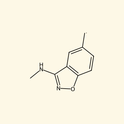 [CH2]c1ccc2onc(NC)c2c1